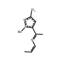 C/C=C\N=C(/C)c1cc(C(F)(F)F)nn1C(C)CC